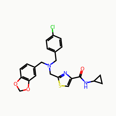 O=C(NC1CC1)c1csc(CN(Cc2ccc(Cl)cc2)Cc2ccc3c(c2)OCO3)n1